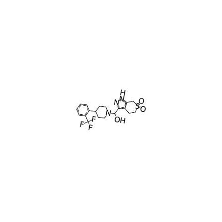 O=S1(=O)CCc2c(C(O)N3CCC(c4ccccc4C(F)(F)F)CC3)n[nH]c2C1